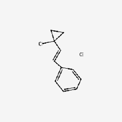 ClC1(C=Cc2ccccc2)CC1.[C]